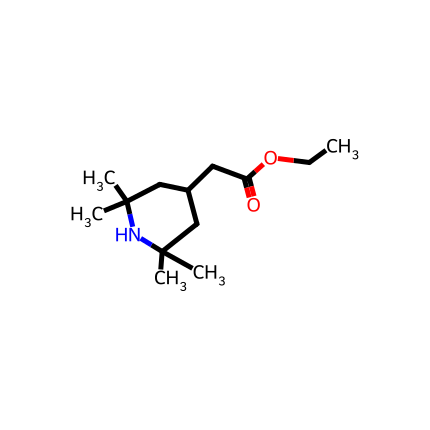 CCOC(=O)CC1CC(C)(C)NC(C)(C)C1